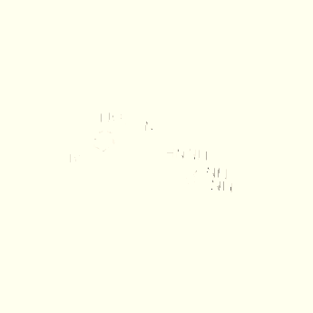 NNC(=O)NNCCCN1CCC(O)(c2ccc(Br)cc2)CC1